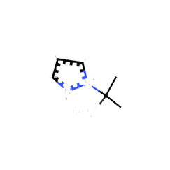 CCOC(=O)C(C)(C)n1cccn1